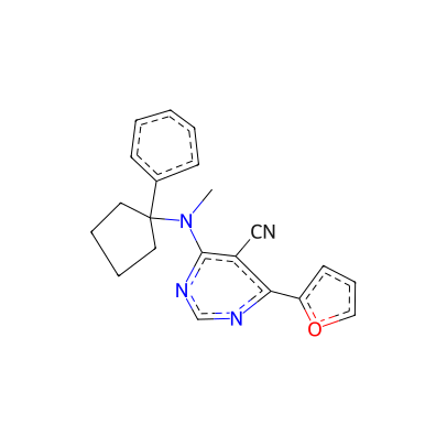 CN(c1ncnc(-c2ccco2)c1C#N)C1(c2ccccc2)CCCC1